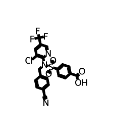 N#Cc1ccc(CN(c2ncc(C(F)(F)F)cc2Cl)S(=O)(=O)c2ccc(C(=O)O)cc2)cc1